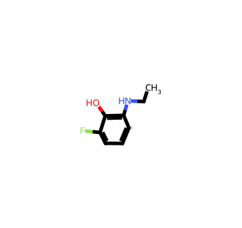 CCNc1[c]ccc(F)c1O